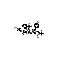 CC(C)(O)CNC(=O)c1nc(Cn2nc(-c3ccc(Cl)cc3)n(CC(O)C(F)(F)F)c2=O)nn1-c1ncccc1C(F)(F)F